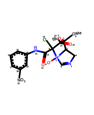 COC(=O)C1CN=C[N+]1([O-])C(Cl)(C(=O)Nc1cccc([N+](=O)[O-])c1)C(=O)C(C)(C)C